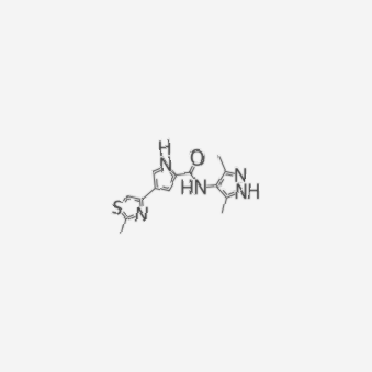 Cc1nc(-c2c[nH]c(C(=O)Nc3c(C)n[nH]c3C)c2)cs1